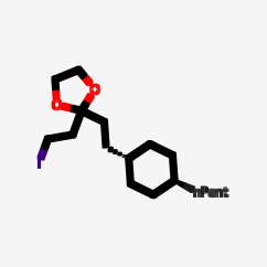 CCCCC[C@H]1CC[C@H](CCC2(CCI)OCCO2)CC1